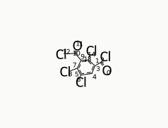 O=C(Cl)c1cc(Cl)c(Cl)c(C(=O)Cl)c1Cl